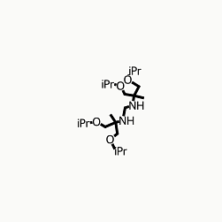 CC(C)OCC(C)(COC(C)C)NCNC(C)(COC(C)C)COC(C)C